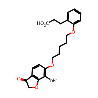 CCCc1c(OCCCCCOc2ccccc2CCC(=O)O)ccc2c1OCC2=O